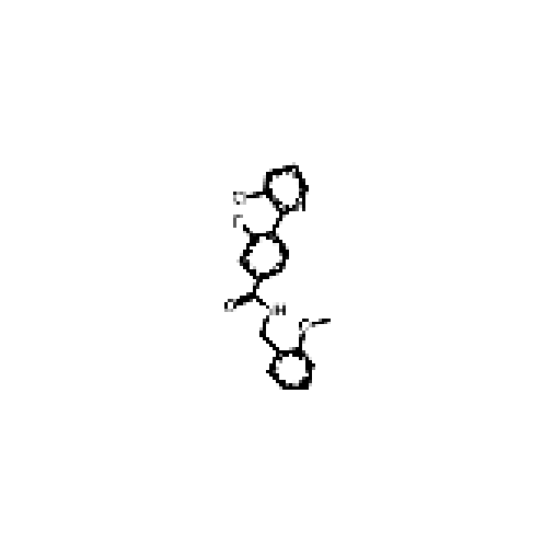 COc1ccccc1CNC(=O)c1ccc(-c2ncccc2Cl)c(F)c1